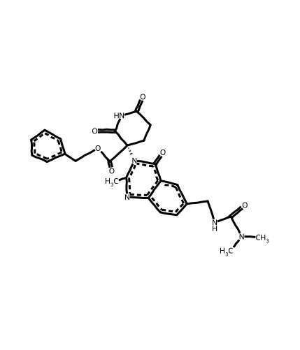 Cc1nc2ccc(CNC(=O)N(C)C)cc2c(=O)n1[C@@]1(C(=O)OCc2ccccc2)CCC(=O)NC1=O